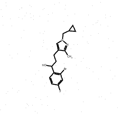 Cc1nn(CC2CC2)cc1CCC(O)c1ccc(F)cc1Br